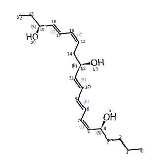 CCCC[C@H](O)\C=C/C=C/C=C/[C@H](O)C/C=C\C=C\[C@@H](O)CC